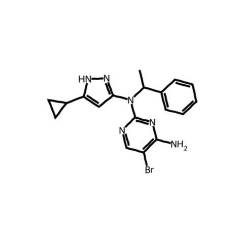 CC(c1ccccc1)N(c1cc(C2CC2)[nH]n1)c1ncc(Br)c(N)n1